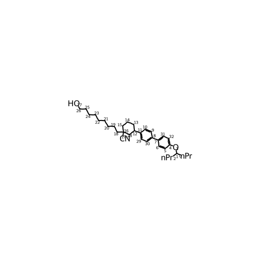 CCCC(CCC)Oc1ccc(-c2ccc(C3CCCC(C#N)(CCCCCCCCCO)C3)cc2)cc1